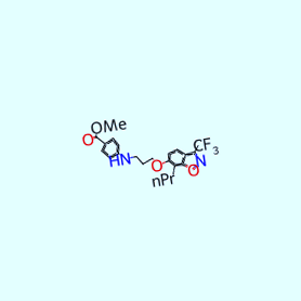 CCCc1c(OCCCNc2ccc(C(=O)OC)cc2)ccc2c(C(F)(F)F)noc12